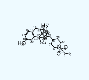 CCS(=O)(=O)N1CCC(CN(C)[C@H]2[C@H]3Cc4ccc(O)cc4[C@@]2(C)CCN3C)CC1